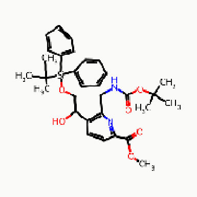 COC(=O)c1ccc(C(O)CO[Si](c2ccccc2)(c2ccccc2)C(C)(C)C)c(CNC(=O)OC(C)(C)C)n1